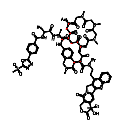 CC[C@@]1(O)C(=O)OCc2c1cc1n(c2=O)Cc2c-1nc1ccccc1c2CCN(C(=O)OCc1ccc(NC(=O)[C@H](C)NC(=O)C(NC(=O)c2ccc(-c3nnc(S(C)(=O)=O)o3)cc2)C(C)C)cc1CN(C)C(=O)CN(C)C(=O)CN(C)C(=O)CN(C)C(=O)CN(C)C(=O)CN(C)C(=O)CN(C)C(=O)CN(C)C(=O)CN(C)C(=O)CN(C)C(=O)CN(C)C(C)=O)C(C)C